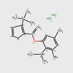 Cl.Cl.[CH2]=[Ti]([O]c1cc(C)cc(C(C)(C)C)c1[SiH](C)C)[C]1=C([Si](C)(C)C)C=CC1